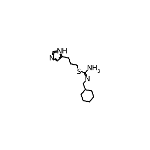 NC(=NCC1CCCCC1)SCCCc1cnc[nH]1